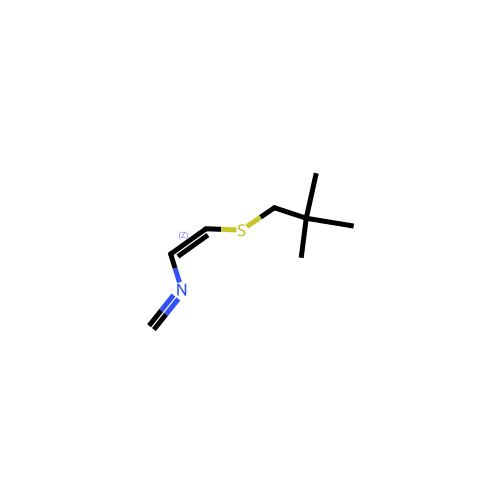 C=N/C=C\SCC(C)(C)C